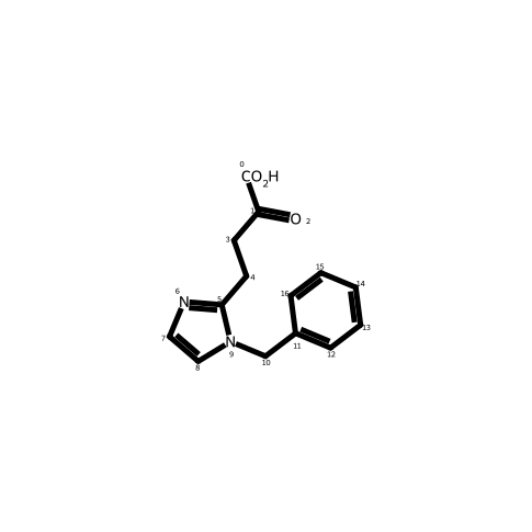 O=C(O)C(=O)CCc1nccn1Cc1ccccc1